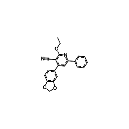 CCOc1nc(-c2ccccc2)cc(-c2ccc3c(c2)OCO3)c1C#N